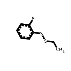 CCSSc1ccccc1F